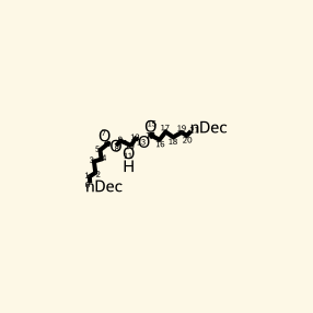 CCCCCCCCCCCCCCCC(=O)O[CH]C(O)COC(=O)CCCCCCCCCCCCCCC